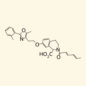 CC=CC=CC(=O)N1CCc2ccc(OCCc3nc(-c4ccccc4C)oc3C)cc2C1C(=O)O